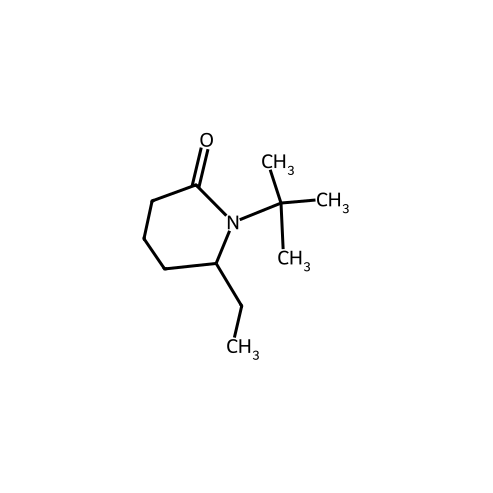 CCC1CCCC(=O)N1C(C)(C)C